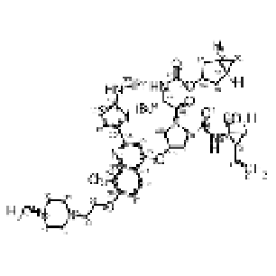 C=C[C@@H]1C[C@]1(NC(=O)[C@@H]1C[C@@H](Oc2cc(-c3csc(NC(C)C)n3)nc3c(Cl)c(OCCN4CCN(C)CC4)ccc23)CN1C(=O)[C@@H](NC(=O)O[C@@H]1C[C@@H]2C[C@@H]2C1)C(C)(C)C)C(=O)O